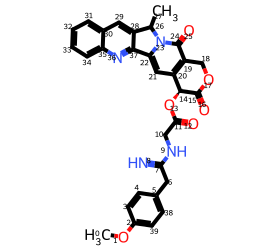 COc1ccc(CC(=N)NCC(=O)O[C@@H]2C(=O)OCc3c2cc2n(c3=O)C(C)c3cc4ccccc4nc3-2)cc1